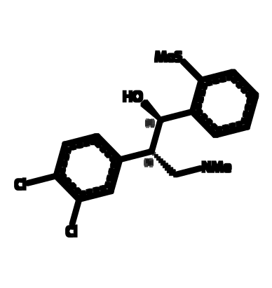 CNC[C@H](c1ccc(Cl)c(Cl)c1)[C@@H](O)c1ccccc1SC